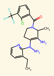 CCc1cccnc1N(N)C1=C(N)C(C)N(C(=O)c2cccc(C(F)(F)F)c2Cl)CC1